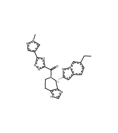 CCc1ccc2cc([C@@H]3c4nc[nH]c4CCN3C(=O)c3nnc(-c4cnn(C)c4)o3)nn2c1